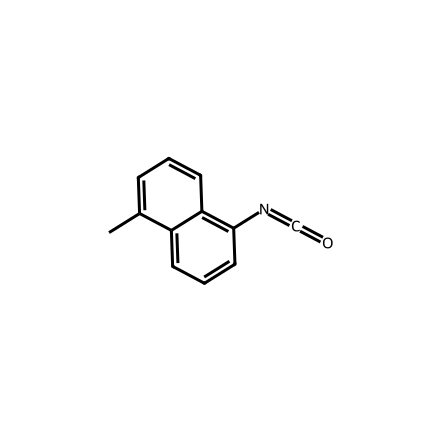 Cc1cccc2c(N=C=O)cccc12